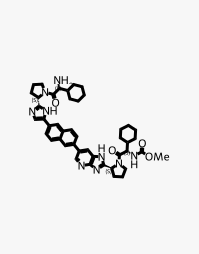 COC(=O)N[C@H](C(=O)N1CCC[C@H]1c1nc2ncc(-c3ccc4cc(-c5cnc([C@@H]6CCCN6C(=O)[C@@H](N)C6CCCCC6)[nH]5)ccc4c3)cc2[nH]1)C1CCCCC1